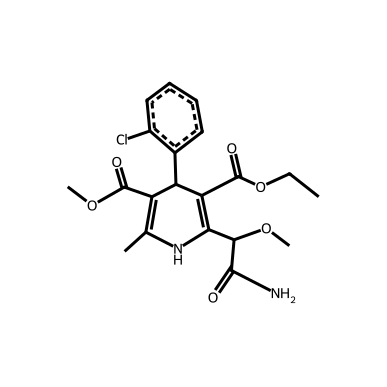 CCOC(=O)C1=C(C(OC)C(N)=O)NC(C)=C(C(=O)OC)C1c1ccccc1Cl